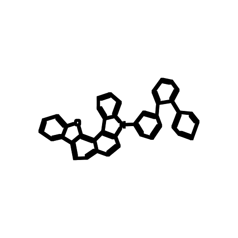 c1ccc(-c2ccccc2-c2cccc(-n3c4ccccc4c4c5c(ccc6c7ccccc7oc65)ccc43)c2)cc1